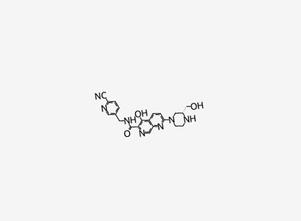 N#Cc1ccc(CNC(=O)c2ncc3nc(N4CCN[C@@H](CO)C4)ccc3c2O)cn1